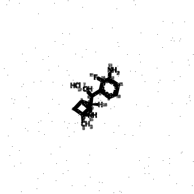 CC12CC(C1)[C@H](C(O)c1cccc(N)c1F)N2.Cl